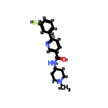 CN1CCC(NC(=O)c2ccc(-c3cccc(F)c3)nc2)CC1